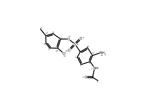 CC(=O)Nc1ccc(S(=O)(=O)Oc2cc(C)ccc2Cl)cc1N